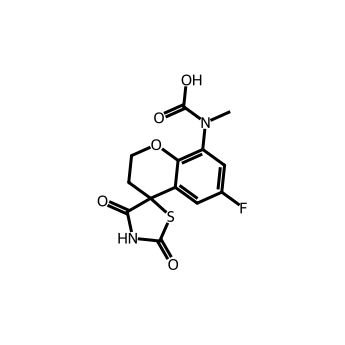 CN(C(=O)O)c1cc(F)cc2c1OCCC21SC(=O)NC1=O